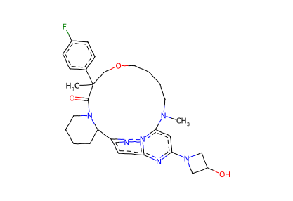 CN1CCCCOCC(C)(c2ccc(F)cc2)C(=O)N2CCCCC2c2cc3nc(N4CC(O)C4)cc1n3n2